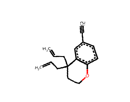 C#Cc1ccc2c(c1)C(CC=C)(CC=C)CCO2